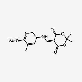 COC1=NCC(NC=C2C(=O)OC(C)(C)OC2=O)C=C1C